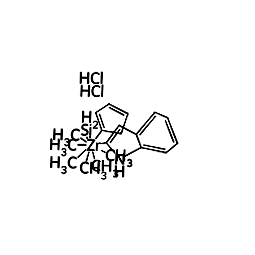 Cl.Cl.[CH3][Zr]([CH3])([CH3])([CH3])([CH3])([CH3])(=[SiH2])([C]1=CC=CC1)[c]1cc2ccccc2[nH]1